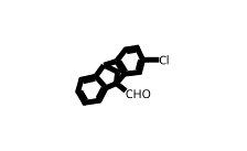 O=CC12CC(c3ccccc31)c1ccc(Cl)cc12